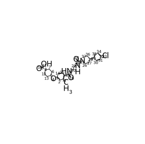 Cc1cc(O[C@H]2CC[C@@H](C(=O)O)CC2)ccc1C(=O)NCCNC(=O)N1CCC(c2ccc(Cl)cc2)CC1